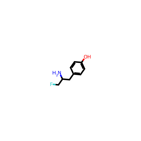 NC(CF)Cc1ccc(O)cc1